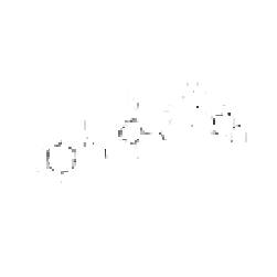 Cc1c(C(=O)C(O)NC2(c3c[nH]nn3)COC2)c2n(c1C(=O)Nc1ccc(F)c(Cl)c1)CCC2